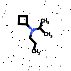 [CH2]CCN(C(C)C)C1CCC1